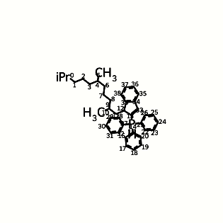 CC(C)CCCC(C)CCCC(C)CC1C([PH](c2ccccc2)(c2ccccc2)c2ccccc2)=Cc2ccccc21